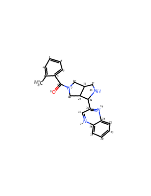 Cc1ccccc1C(=O)N1CC2CNC(c3cnc4ccccc4n3)C2C1